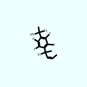 C/C=C\C(C)(CC)c1c(F)c(F)c(C(C)(CC)CCC)c(F)c1F